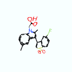 Cc1ccc2c(c1)c(C1=CS(=O)(=O)c3ccc(F)cc31)c(C)n2CC(=O)O